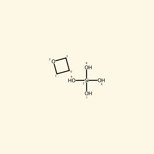 C1COC1.O[Si](O)(O)O